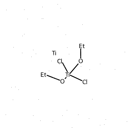 CC[O][Ti]([Cl])([Cl])[O]CC.[Ti]